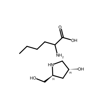 CCCCC(N)C(=O)O.OC[C@@H]1C[C@@H](O)CN1